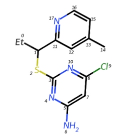 CCC(Sc1nc(N)cc(Cl)n1)c1cc(C)ccn1